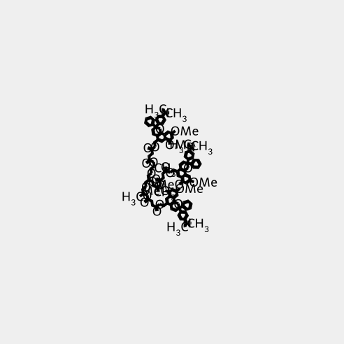 COc1cc(OC)c2cc(COC(=O)CCC(=O)OC(C)COCC(COCC(C)OC(=O)CCC(=O)OCc3cc4c(OC)cc(OC)cc4c4c3C=CC(c3ccccc3)(c3ccc(N(C)C)cc3)O4)OCC(C)OC(=O)CCC(=O)OCc3cc4c(OC)cc(OC)cc4c4c3C=CC(c3ccccc3)(c3ccc(N(C)C)cc3)O4)c3c(c2c1)OC(c1ccccc1)(c1ccc(N(C)C)cc1)C=C3